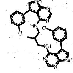 CC(CNc1ncnc2[nH]cc(-c3cccc(Cl)c3)c12)CNc1ncnc2[nH]cc(-c3cccc(Cl)c3)c12